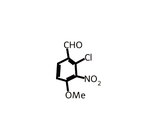 COc1ccc(C=O)c(Cl)c1[N+](=O)[O-]